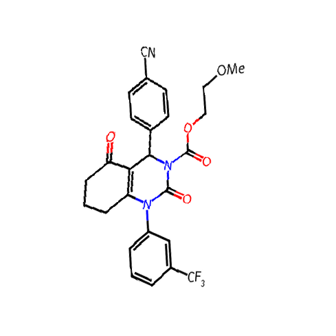 COCCOC(=O)N1C(=O)N(c2cccc(C(F)(F)F)c2)C2=C(C(=O)CCC2)C1c1ccc(C#N)cc1